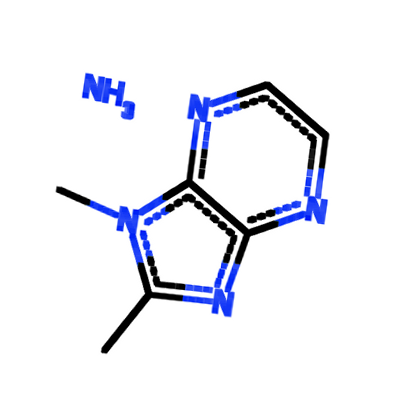 Cc1nc2nccnc2n1C.N